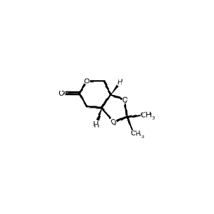 CC1(C)O[C@H]2COC(=O)C[C@H]2O1